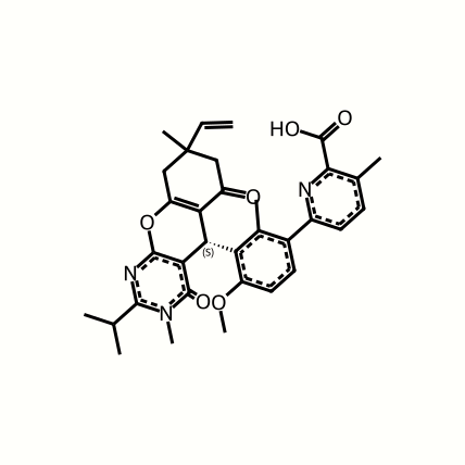 C=CC1(C)CC(=O)C2=C(C1)Oc1nc(C(C)C)n(C)c(=O)c1[C@H]2c1c(OC)ccc(-c2ccc(C)c(C(=O)O)n2)c1C